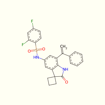 C=C(c1ccccc1)c1cc(NS(=O)(=O)c2ccc(F)cc2F)cc2c1NC(=O)C21CCC1